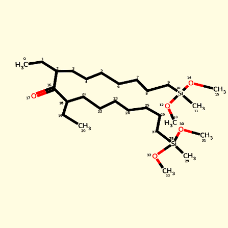 CCC(CCCCCCC[Si](C)(OC)OC)C(=O)C(CC)CCCCCCC[Si](C)(OC)OC